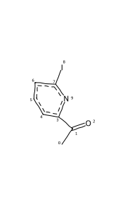 CC(=O)c1cccc(I)n1